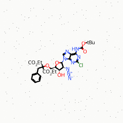 CCOC(=O)C(Cc1ccccc1)(OC[C@H]1O[C@@H](n2cnc3c(NC(=O)OC(C)(C)C)nc(Cl)nc32)[C@H](N=[N+]=[N-])[C@@H]1O)C(=O)OCC